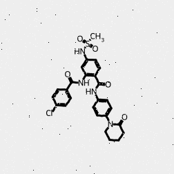 CS(=O)(=O)Nc1ccc(C(=O)Nc2ccc(N3CCCCC3=O)cc2)c(NC(=O)c2ccc(Cl)cc2)c1